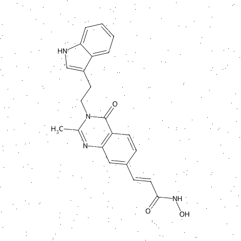 Cc1nc2cc(/C=C/C(=O)NO)ccc2c(=O)n1CCc1c[nH]c2ccccc12